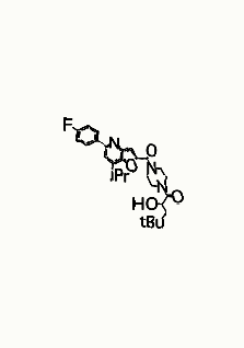 CC(C)c1cc(-c2ccc(F)cc2)nc2cc(C(=O)N3CCN(C(=O)[C@H](O)CC(C)(C)C)CC3)oc12